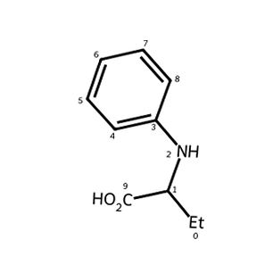 CCC(Nc1ccccc1)C(=O)O